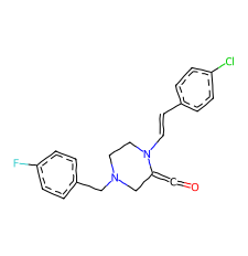 O=C=C1CN(Cc2ccc(F)cc2)CCN1C=Cc1ccc(Cl)cc1